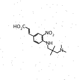 CN(C)CC(C)(C)CNc1ccc(C=CC(=O)O)cc1[N+](=O)[O-]